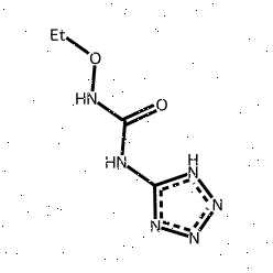 CCONC(=O)Nc1nnn[nH]1